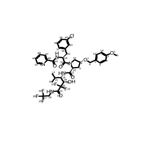 COc1ccc(CO[C@@H]2C[C@@H](C(=O)N[C@@H](C(C)C)[C@@H](O)C(F)(F)C(=O)NCC(F)(F)F)N(C(=O)[C@H](Cc3cccc(Cl)c3)NC(=O)c3ccccn3)C2)cc1